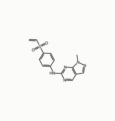 C=CS(=O)(=O)c1ccc(Nc2ncc3cnn(C)c3n2)cc1